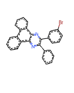 Brc1cccc(-c2nc3c4ccccc4c4ccccc4c3nc2-c2ccccc2)c1